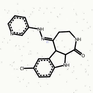 O=C1NCC/C(=N\Nc2cccnc2)C2c3cc(Cl)ccc3NC12